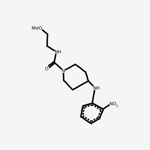 COCCNC(=O)N1CCC(Nc2ccccc2[N+](=O)[O-])CC1